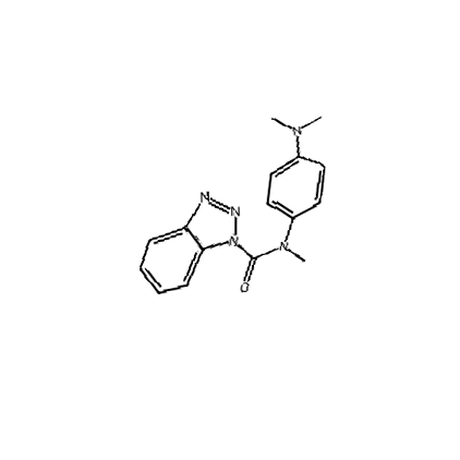 CN(C)c1ccc(N(C)C(=O)n2nnc3ccccc32)cc1